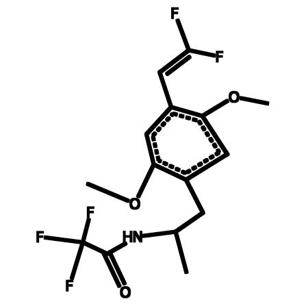 COc1cc(CC(C)NC(=O)C(F)(F)F)c(OC)cc1C=C(F)F